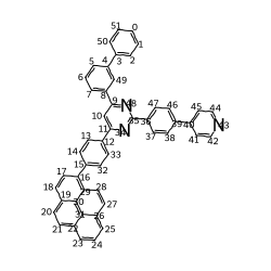 c1ccc(-c2cccc(-c3cc(-c4ccc(-c5ccc6ccc7cccc8ccc5c6c78)cc4)nc(-c4ccc(-c5ccncc5)cc4)n3)c2)cc1